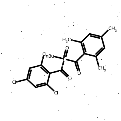 CCCCP(=O)(C(=O)c1c(C)cc(C)cc1C)C(=O)c1c(Cl)cc(Cl)cc1Cl